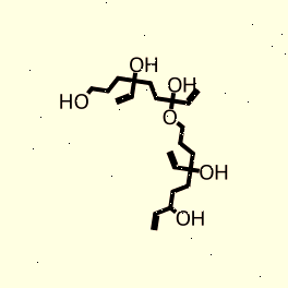 C=CC(O)CCC(O)(C=C)CCCOC(O)(C=C)CCC(O)(C=C)CCCO